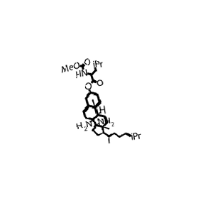 COC(=O)NC(CC(C)C)C(=O)O[C@H]1CC[C@@]2(C)C(=CC[C@]3(N)[C@@H]2CC[C@]2(C)[C@@H]([C@H](C)CCCC(C)C)CC[C@]23N)C1